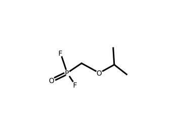 CC(C)OCP(=O)(F)F